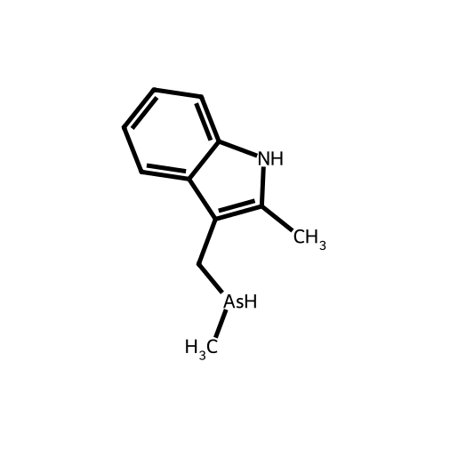 C[AsH]Cc1c(C)[nH]c2ccccc12